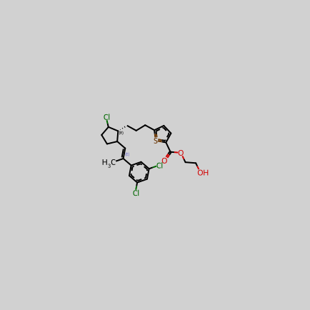 C/C(=C\C1CCC(Cl)[C@@H]1CCCc1ccc(C(=O)OCCO)s1)c1cc(Cl)cc(Cl)c1